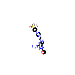 C[S+]([O-])c1ccc(N2CCN(CCn3ncc4c3nc(N)n3nc(-c5ccco5)nc43)CC2)cc1